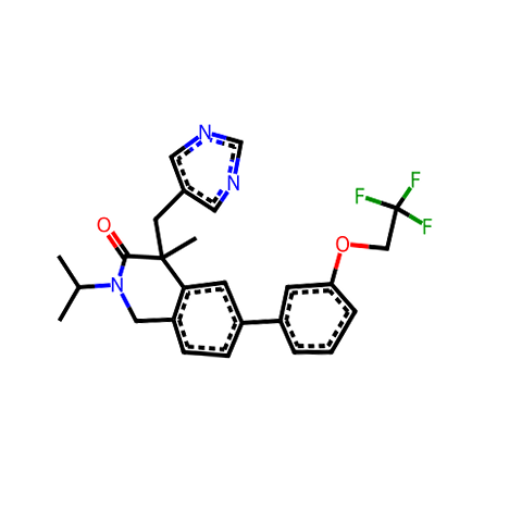 CC(C)N1Cc2ccc(-c3cccc(OCC(F)(F)F)c3)cc2C(C)(Cc2cncnc2)C1=O